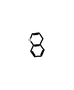 [c]1cc[c]c2c1CC=CO2